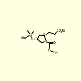 CCOC(=O)CC[C@@H]1C[C@@H](O[Si](C)(C)C(C)(C)C)CN1C(=O)OC(C)(C)C